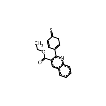 CCOC(=O)c1cc2ccccc2nc1C1=CCC(=S)C=C1